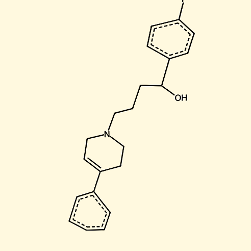 OC(CCCN1CC=C(c2ccccc2)CC1)c1ccc(F)cc1